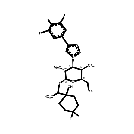 CO[C@@H]1[C@@H](n2cc(-c3cc(F)c(F)c(F)c3)nn2)[C@@H](OC(C)=O)[C@@H](COC(C)=O)O[C@H]1SC(C(=O)O)C1(O)CCC(F)(F)CC1